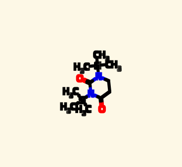 C[Si](C)(C)N1CCC(=O)N([Si](C)(C)C)C1=O